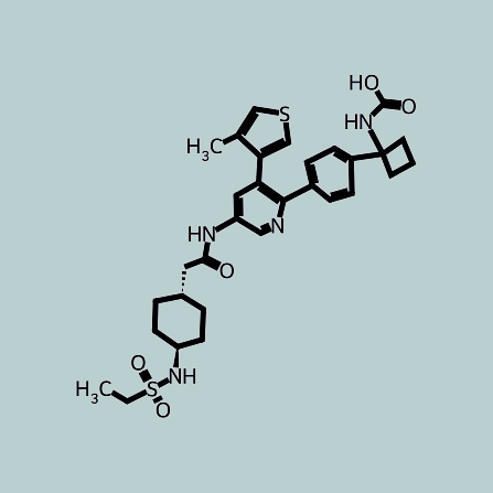 CCS(=O)(=O)N[C@H]1CC[C@H](CC(=O)Nc2cnc(-c3ccc(C4(NC(=O)O)CCC4)cc3)c(-c3cscc3C)c2)CC1